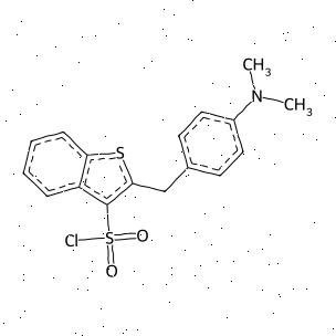 CN(C)c1ccc(Cc2sc3ccccc3c2S(=O)(=O)Cl)cc1